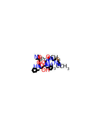 CC(C)[C@H](NC(=O)N(C)Cc1csc(CN(C)C)n1)C(=O)N[C@@H](Cc1ccccc1)C[C@H](O)[C@H](Cc1ccccc1)NC(=O)OCc1cnco1